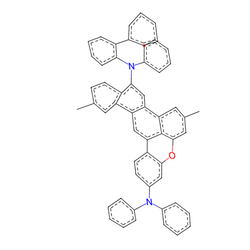 Cc1ccc2c(N(c3ccccc3)c3ccccc3-c3ccccc3)cc3c4cc(C)cc5c4c(cc3c2c1)-c1ccc(N(c2ccccc2)c2ccccc2)cc1O5